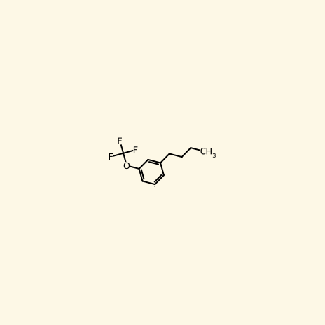 CCCCc1c[c]cc(OC(F)(F)F)c1